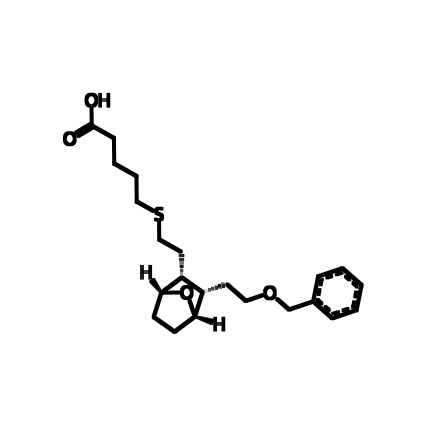 O=C(O)CCCCSCC[C@@H]1[C@H](CCOCc2ccccc2)[C@@H]2CC[C@H]1O2